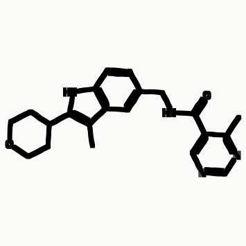 Cc1ncncc1C(=O)NCc1ccc2[nH]c(C3CCOCC3)c(C)c2c1